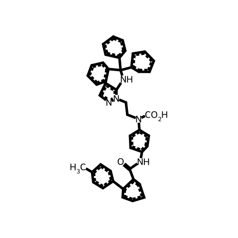 Cc1ccc(-c2ccccc2C(=O)Nc2ccc(N(CCn3nccc3NC(c3ccccc3)(c3ccccc3)c3ccccc3)C(=O)O)cc2)cc1